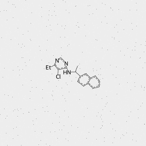 CCc1ncnc(NC(C)c2ccc3ccccc3c2)c1Cl